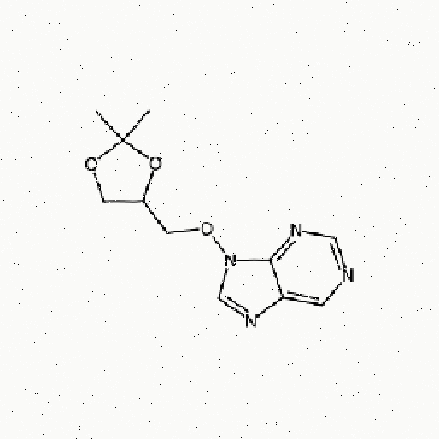 CC1(C)OCC(COn2cnc3cncnc32)O1